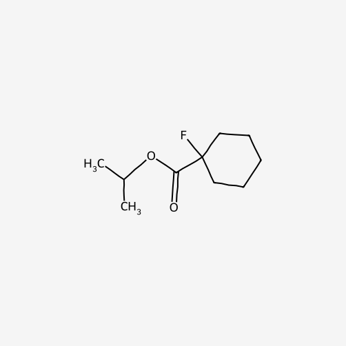 CC(C)OC(=O)C1(F)CCCCC1